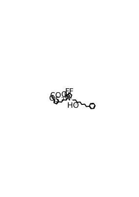 O=C(O)Oc1ccc(CCCN2C(=O)C(F)(F)C[C@@H]2CC[C@@H](O)CCCCc2ccccc2)s1